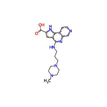 CN1CCN(CCCNc2nc3cnccc3c3[nH]c(C(=O)O)cc23)CC1